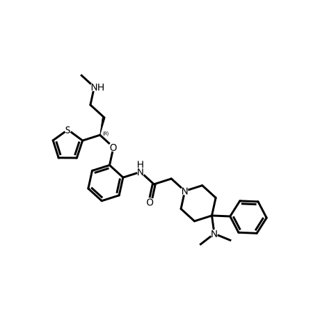 CNCC[C@@H](Oc1ccccc1NC(=O)CN1CCC(c2ccccc2)(N(C)C)CC1)c1cccs1